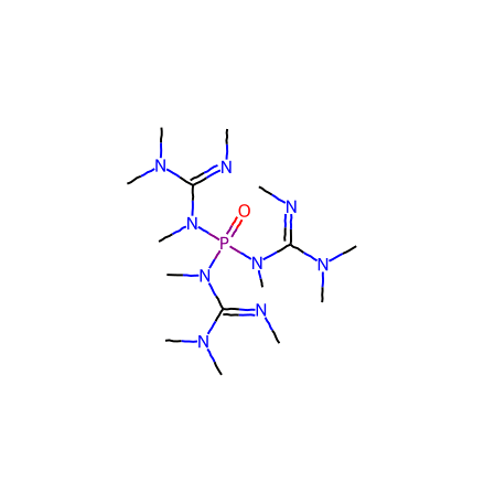 CN=C(N(C)C)N(C)P(=O)(N(C)C(=NC)N(C)C)N(C)C(=NC)N(C)C